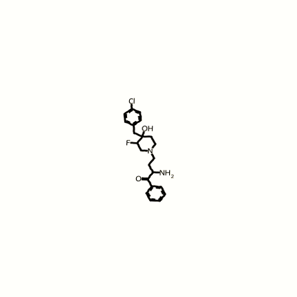 NC(CCN1CCC(O)(Cc2ccc(Cl)cc2)C(F)C1)C(=O)c1ccccc1